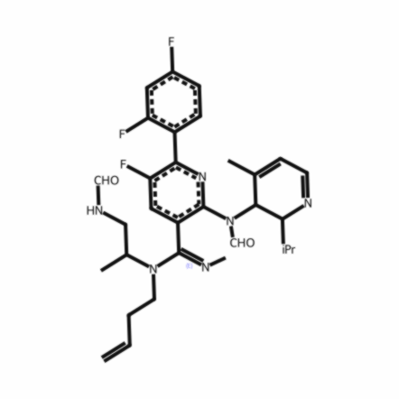 C=CCCN(/C(=N/C)c1cc(F)c(-c2ccc(F)cc2F)nc1N(C=O)C1C(C)=CC=NC1C(C)C)C(C)CNC=O